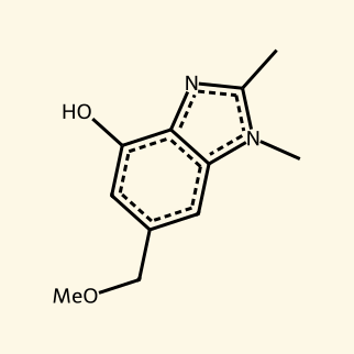 COCc1cc(O)c2nc(C)n(C)c2c1